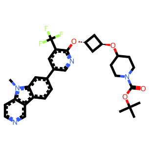 Cn1c2ccncc2c2ccc(-c3cnc(O[C@H]4C[C@H](OC5CCN(C(=O)OC(C)(C)C)CC5)C4)c(C(F)(F)F)c3)cc21